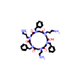 NCCCN1CC(=O)N(Cc2ccccc2)CC(=O)N(CCCN)CC(O)N(Cc2ccccc2)CC(=O)N(CCN)CC(=O)N(Cc2ccccc2)CC1=O